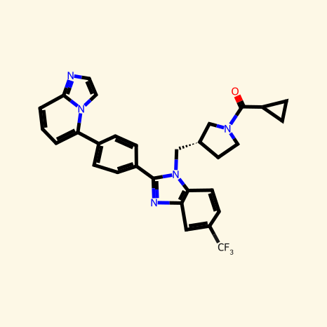 O=C(C1CC1)N1CC[C@H](Cn2c(-c3ccc(-c4cccc5nccn45)cc3)nc3cc(C(F)(F)F)ccc32)C1